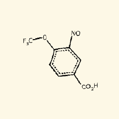 O=Nc1cc(C(=O)O)ccc1OC(F)(F)F